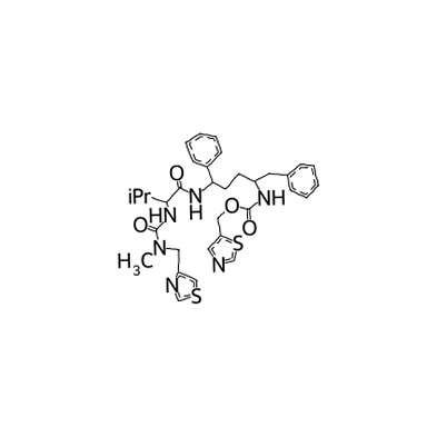 CC(C)C(NC(=O)N(C)Cc1cscn1)C(=O)NC(CCC(Cc1ccccc1)NC(=O)OCc1cncs1)c1ccccc1